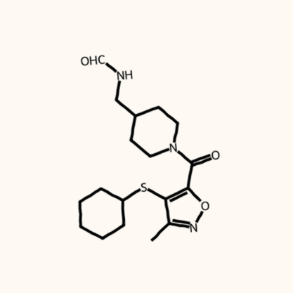 Cc1noc(C(=O)N2CCC(CNC=O)CC2)c1SC1CCCCC1